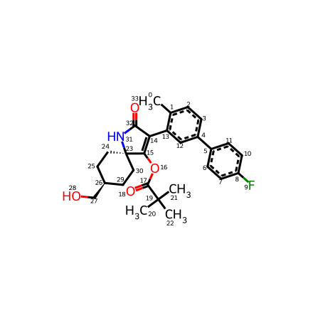 Cc1ccc(-c2ccc(F)cc2)cc1C1=C(OC(=O)C(C)(C)C)[C@]2(CC[C@H](CO)CC2)NC1=O